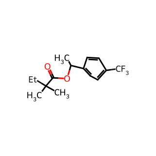 CCC(C)(C)C(=O)OC(C)c1ccc(C(F)(F)F)cc1